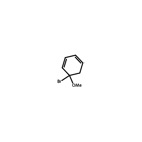 COC1(Br)C=CC=[C]C1